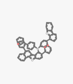 c1ccc(-c2ccc(N(c3ccc(-c4cccc5c4oc4ccccc45)cc3)c3c(-c4ccccc4)ccc4oc5c6ccccc6c(-c6ccccc6)cc5c34)cc2)cc1